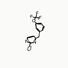 FC(F)(F)Oc1cccc(Cc2ccnc(Cl)n2)c1